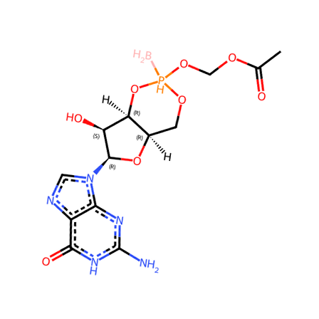 B[PH]1(OCOC(C)=O)OC[C@H]2O[C@@H](n3cnc4c(=O)[nH]c(N)nc43)[C@@H](O)[C@H]2O1